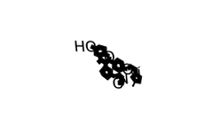 CC1=C(c2cccc(-c3cnco3)c2)C(c2ccc(OC[C@H](C)N3CC[C@@H](C)C3)cc2)Oc2ccc(O)cc21